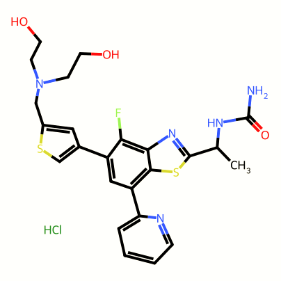 CC(NC(N)=O)c1nc2c(F)c(-c3csc(CN(CCO)CCO)c3)cc(-c3ccccn3)c2s1.Cl